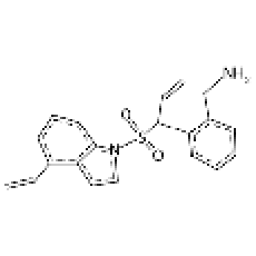 C=Cc1cccc2c1ccn2S(=O)(=O)C(C=C)c1ccccc1CN